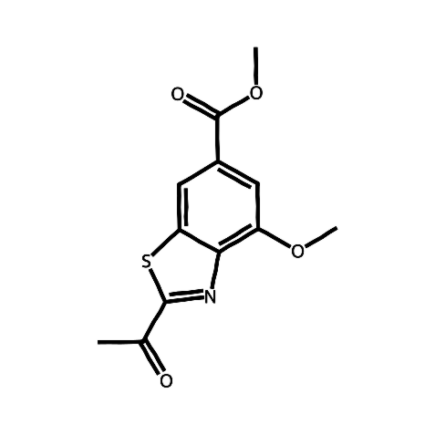 COC(=O)c1cc(OC)c2nc(C(C)=O)sc2c1